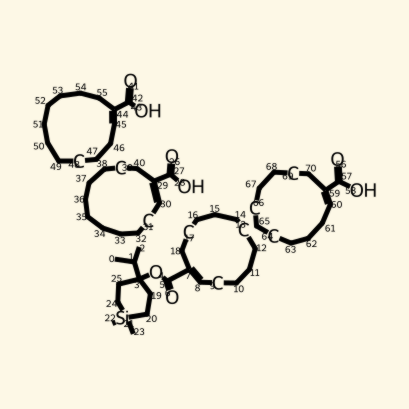 CC(C)C1(OC(=O)C2=CCCCCCCCCCC2)CC[Si](C)(C)CC1.O=C(O)C1=CCCCCCCCCCC1.O=C(O)C1=CCCCCCCCCCC1.O=C(O)C1=CCCCCCCCCCC1